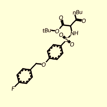 CCCCC(=O)C(NS(=O)(=O)c1ccc(OCc2ccc(F)cc2)cc1)C(=O)OC(C)(C)C